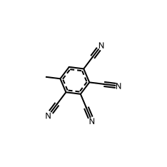 Cc1cc(C#N)c(C#N)c(C#N)c1C#N